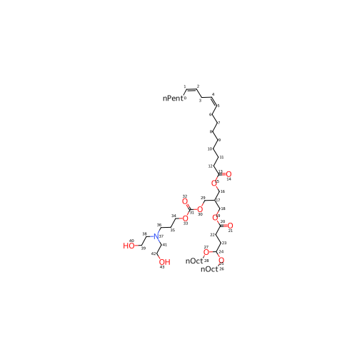 CCCCC/C=C\C/C=C\CCCCCCCC(=O)OCC(COC(=O)CCC(OCCCCCCCC)OCCCCCCCC)COC(=O)OCCCN(CCO)CCO